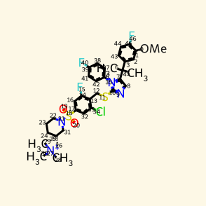 COc1cc(C(C)(C)c2cnc(SCc3c(F)cc(S(=O)(=O)N4CCC[C@@H](C[N+](C)(C)C)C4)cc3Cl)n2-c2ccc(F)cc2)ccc1F